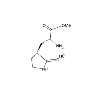 COC(=O)C(N)C[C@@H]1CCNC1=O.Cl